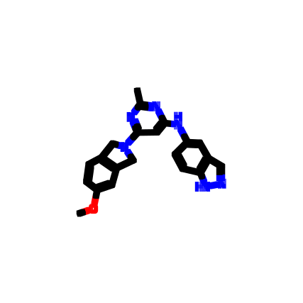 COc1ccc2c(c1)CN(c1cc(Nc3ccc4[nH]ncc4c3)nc(C)n1)C2